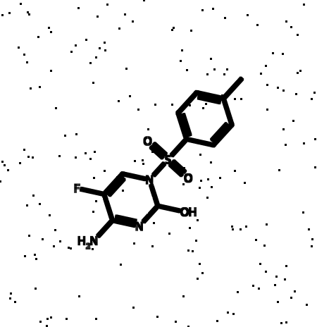 Cc1ccc(S(=O)(=O)N2C=C(F)C(N)=NC2O)cc1